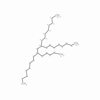 CCCCCCCCC([CH]C(CCCCCCCC)CCCCCCCC)CCCCC